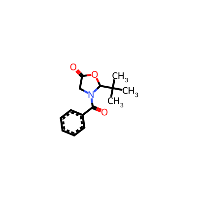 CC(C)(C)C1OC(=O)CN1C(=O)c1ccccc1